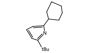 CC(C)(C)c1cccc(C2CCCCC2)n1